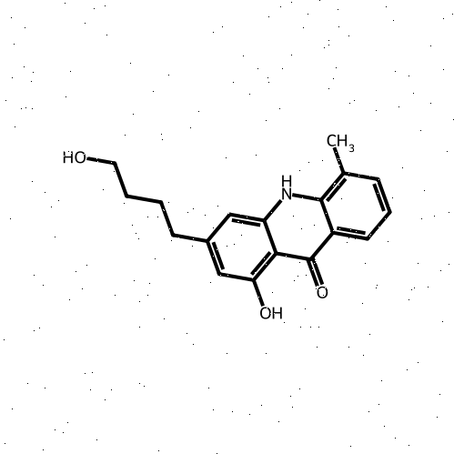 Cc1cccc2c(=O)c3c(O)cc(CCCCO)cc3[nH]c12